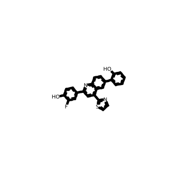 Oc1ccc(-c2cc(-c3nccs3)c3cc(-c4ccccc4O)ccc3n2)cc1F